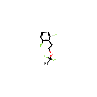 CCC(F)(F)OCCc1c(F)cccc1F